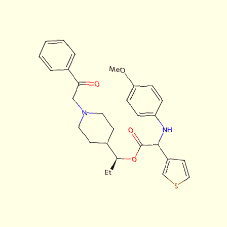 CC[C@H](OC(=O)C(Nc1ccc(OC)cc1)c1ccsc1)C1CCN(CC(=O)c2ccccc2)CC1